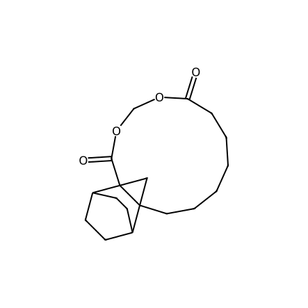 O=C1CCCCCCC23CC2(C(=O)OCO1)C1CCC3CC1